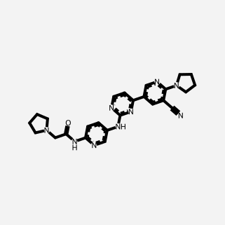 N#Cc1cc(-c2ccnc(Nc3ccc(NC(=O)CN4CCCC4)nc3)n2)cnc1N1CCCC1